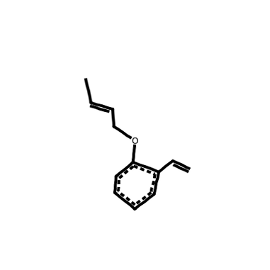 C=Cc1ccccc1OCC=CC